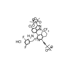 CC(C)(C#Cc1nc([C@@H](N)Cc2cc(F)cc(F)c2)c(-c2ccc(Cl)c3c(N(S(C)(=O)=O)S(C)(=O)=O)nn(CC(F)(F)F)c23)c2c1CCCC2)S(C)(=O)=O.Cl